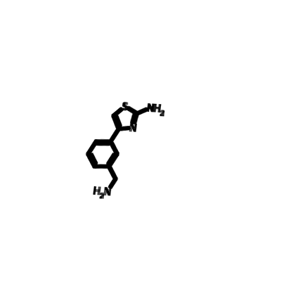 NCc1cccc(-c2csc(N)n2)c1